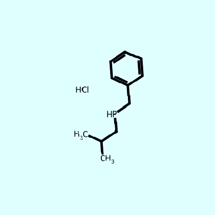 CC(C)CPCc1ccccc1.Cl